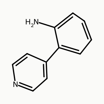 Nc1ccccc1-c1ccncc1